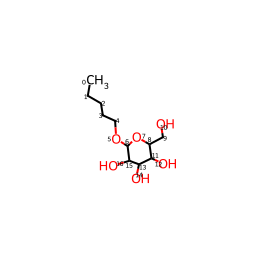 CCCCCOC1OC(CO)C(O)C(O)C1O